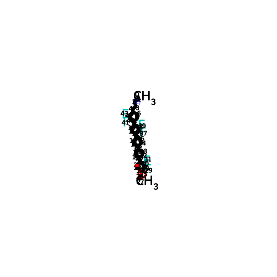 C/C=C/CCc1ccc(-c2ccc(C3=CCC(C4CC=C(c5ccc(OCC)c(F)c5F)CC4)CC3)c(F)c2F)c(F)c1F